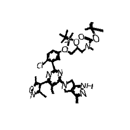 Cc1n[nH]c2c1CN(c1nc(-c3cc(OCC(CN(C)C(=O)OC(C)(C)C)O[Si](C)(C)C(C)(C)C)ccc3Cl)nc(-c3c(C)noc3C)c1C)C2